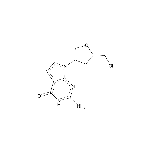 Nc1nc2c(ncn2C2=COC(CO)C2)c(=O)[nH]1